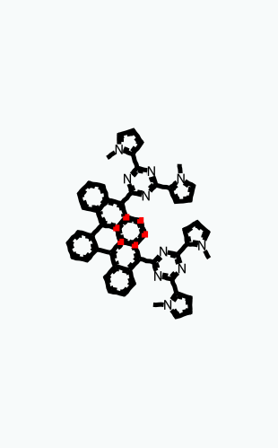 Cn1cccc1-c1nc(-c2c3ccccc3c(-c3ccccc3-c3c4ccccc4c(-c4nc(-c5cccn5C)nc(-c5cccn5C)n4)c4ccccc34)c3ccccc23)nc(-c2cccn2C)n1